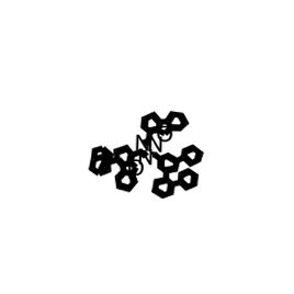 c1ccc(-c2cc(-c3nc(-c4cccc5c4oc4ccccc45)nc(-c4ccc(C56CC7CC(CC(C7)C5)C6)c5c4oc4ccccc45)n3)cc(-c3ccccc3-c3ccccc3)c2)cc1